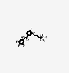 CC(C)(O)CCCSc1cc(C(=O)Nc2cc(F)c(F)c(F)c2)ccc1F